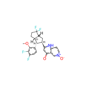 COc1c([C@@H]2[C@@H]3CCC(F)(F)[C@@H]3C[C@H]2c2cc(=O)c3c[n+]([O-])ccc3[nH]2)ccc(F)c1F